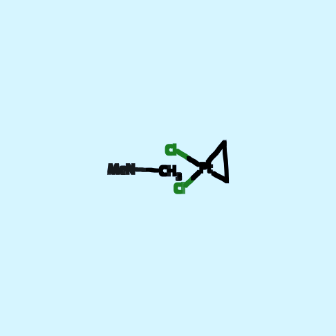 CNC.[Cl][Pt]1([Cl])[CH2][CH2]1